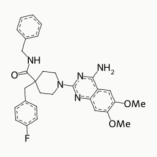 COc1cc2nc(N3CCC(Cc4ccc(F)cc4)(C(=O)NCc4ccccc4)CC3)nc(N)c2cc1OC